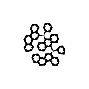 c1ccc(N(c2c3ccccc3c(N(c3ccccc3)c3cc4c5ccccc5ccc4c4ccccc34)c3ccccc23)c2cc3c4ccccc4ccc3c3ccccc23)cc1